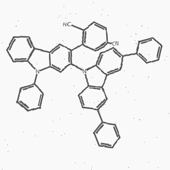 N#Cc1ccc(C#N)c(-c2cc3c4ccccc4n(-c4ccccc4)c3cc2-n2c3ccc(-c4ccccc4)cc3c3cc(-c4ccccc4)ccc32)c1